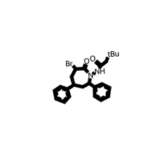 CC(C)(C)CC(=O)NN1C(=O)C(Br)CC(c2ccccc2)CC1c1ccccc1